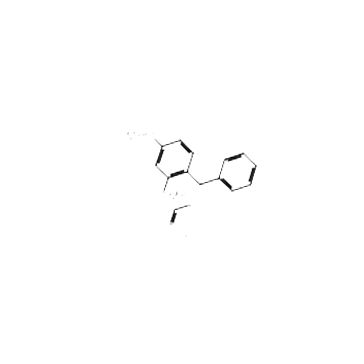 C=CO[C@@H](c1ccccc1)c1ccc(OC)cc1OC